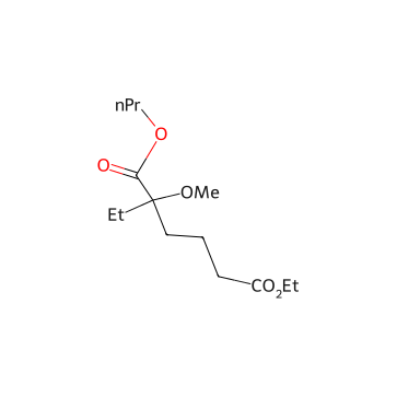 CCCOC(=O)C(CC)(CCCC(=O)OCC)OC